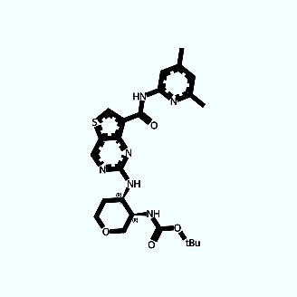 Cc1cc(C)nc(NC(=O)c2csc3cnc(N[C@@H]4CCOC[C@@H]4NC(=O)OC(C)(C)C)nc23)c1